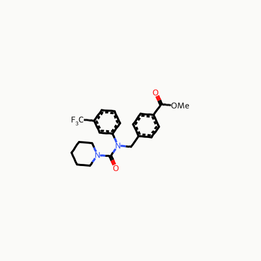 COC(=O)c1ccc(CN(C(=O)N2CCCCC2)c2cccc(C(F)(F)F)c2)cc1